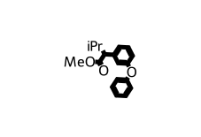 COC(=O)C(c1cccc(Oc2ccccc2)c1)C(C)C